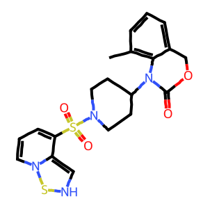 Cc1cccc2c1N(C1CCN(S(=O)(=O)C3=CC=CN4SNC=C34)CC1)C(=O)OC2